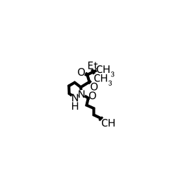 C#CCCCC(=O)N1NCCCC1C(=O)C(=O)C(C)(C)CC